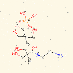 CCC(CO)(CO)CO.CCC(CO)(CO)CO.NCCN.O=P(O)(O)O